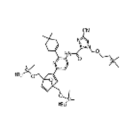 CC1(C)CC=C(c2nc(C3=CC4(CO[Si](C)(C)C(C)(C)C)C=CC(CO[Si](C)(C)C(C)(C)C)(C3)O4)ccc2NC(=O)c2nc(C#N)cn2COCC[Si](C)(C)C)CC1